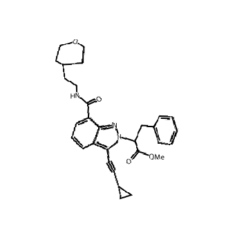 COC(=O)C(Cc1ccccc1)n1nc2c(C(=O)NCCC3CCOCC3)cccc2c1C#CC1CC1